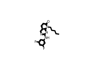 CCCCCn1c(=O)ccc2cnc(Nc3cc(F)cc(F)c3)nc21